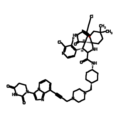 CC1(C)CCC2(CC1)NC(C(=O)N[C@H]1CC[C@H](CN3CCN(CC#Cc4cccn5c(N6CCC(=O)NC6=O)cnc45)CC3)CC1)[C@H](c1ccnc(Cl)c1F)[C@]21C(=O)Nc2cc(Cl)ccc21